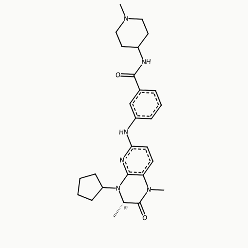 C[C@H]1C(=O)N(C)c2ccc(Nc3cccc(C(=O)NC4CCN(C)CC4)c3)nc2N1C1CCCC1